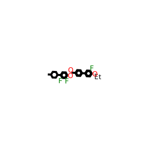 CCOc1ccc(-c2ccc(C(=O)Oc3ccc(C4CCC(C)CC4)c(F)c3F)cc2)cc1F